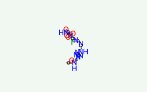 O=C1CC[C@H](N2C(=O)c3cc(F)c(N4CCC(CN5CCC(CCNc6ncnc7c6ncn7C6CC(NC(=O)Cc7ccccc7)C6)CC5)CC4)cc3C2=O)C(=O)N1